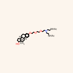 CC(=O)NCCN(CCNC(C)=O)CCOCCOCCOc1ccc2c(c1)CC[C@@H]1[C@@H]2CC[C@]2(C)[C@@H](O)CC[C@@H]12